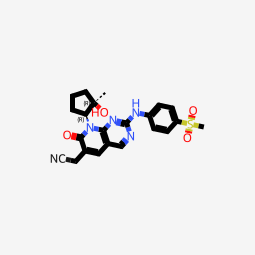 C[C@@]1(O)CCC[C@H]1n1c(=O)c(CC#N)cc2cnc(Nc3ccc(S(C)(=O)=O)cc3)nc21